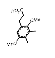 COc1cc(CCC(=O)O)c(OC)c(C)c1C